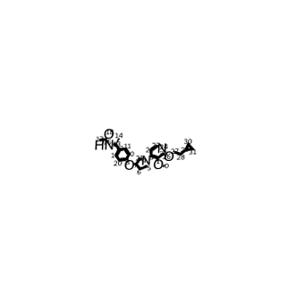 COc1c(N2CC[C@@H](Oc3ccc([C@H](C)NC(C)=O)cc3)C2)ccnc1OCCC1CC1